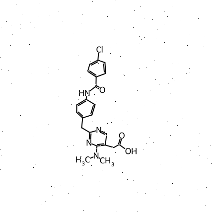 CN(C)c1nc(Cc2ccc(NC(=O)c3ccc(Cl)cc3)cc2)ncc1CC(=O)O